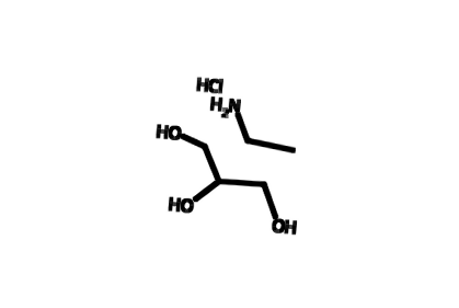 CCN.Cl.OCC(O)CO